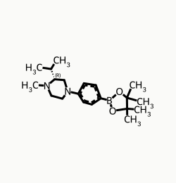 CC(C)[C@@H]1CN(c2ccc(B3OC(C)(C)C(C)(C)O3)cc2)CCN1C